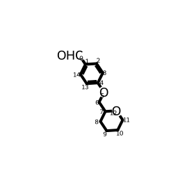 O=Cc1ccc(OCC2CCCCO2)cc1